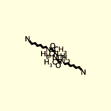 CC(C)(N=NC(C)(C)C(=O)NCCCCCCC#N)C(=O)NCCCCCCC#N